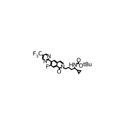 CC(C)(C)OC(=O)NC(CCCn1ccc2cc(-c3ncc(C(F)(F)F)cn3)c(F)cc2c1=O)C1CC1